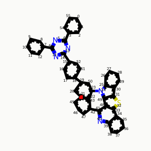 c1ccc(-c2nc(-c3ccccc3)nc(-c3ccc(-c4cccc(-n5c6ccccc6c6sc7c8ccccc8nc(-c8ccccc8)c7c65)c4)cc3)n2)cc1